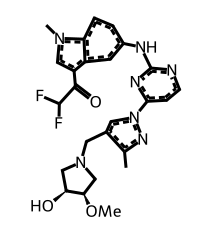 CO[C@@H]1CN(Cc2cn(-c3ccnc(Nc4ccc5c(c4)c(C(=O)C(F)F)cn5C)n3)nc2C)C[C@@H]1O